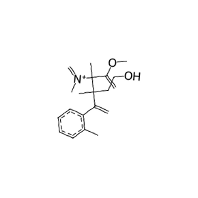 C=C(c1ccccc1C)C(C)(CCO)C(C)(C(=C)OC)[N+](=C)C